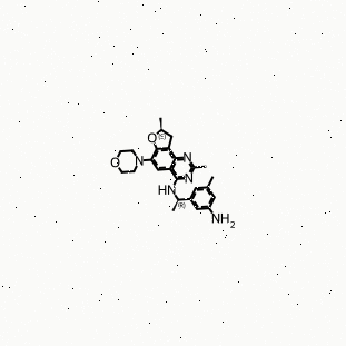 Cc1cc(N)cc([C@@H](C)Nc2nc(C)nc3c4c(c(N5CCOCC5)cc23)O[C@@H](C)C4)c1